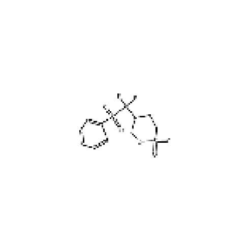 O=S1(=O)CCN(C(F)(F)S(=O)(=O)c2ccccc2)CO1